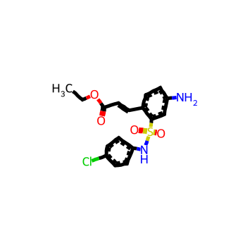 CCOC(=O)/C=C/c1ccc(N)cc1S(=O)(=O)Nc1ccc(Cl)cc1